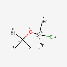 CCC(C)(C)O[Si](Cl)(C(C)C)C(C)C